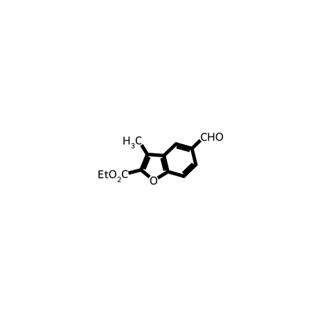 CCOC(=O)c1oc2ccc(C=O)cc2c1C